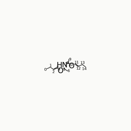 CCC=COC(C)NC(C)OC=CCC